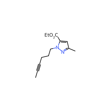 CC#CCCCn1nc(C)cc1C(=O)OCC